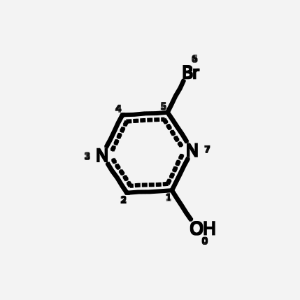 Oc1cncc(Br)n1